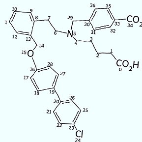 O=C(O)CCCCN(CCc1ccccc1COc1ccc(-c2ccc(Cl)cc2)cc1)Cc1ccc(C(=O)O)cc1